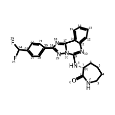 O=C1NCCCC[C@H]1Nc1nc2ccccc2c2nc(-c3ccc(C(F)F)cc3)nn12